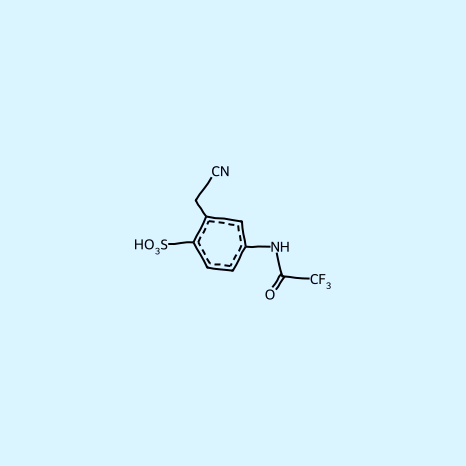 N#CCc1cc(NC(=O)C(F)(F)F)ccc1S(=O)(=O)O